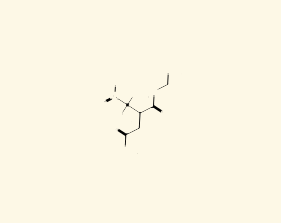 CCOC(=O)C(CC(C)=O)C(C)(C)[N+](=O)[O-]